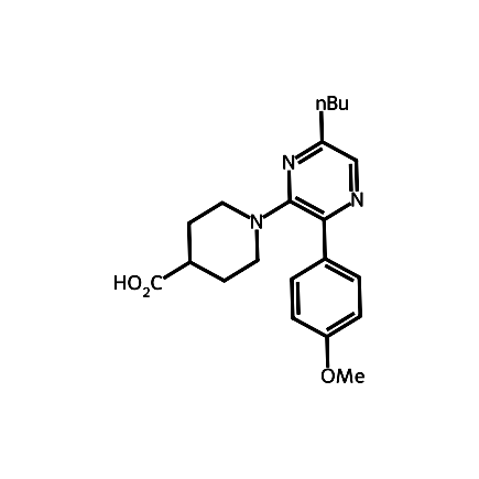 CCCCc1cnc(-c2ccc(OC)cc2)c(N2CCC(C(=O)O)CC2)n1